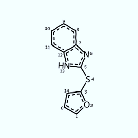 c1coc(Sc2nc3ccccc3[nH]2)c1